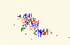 COc1cc(C(=O)NCC(O)(c2cc3c(c(-c4ccc(F)cc4)n2)OC[C@]3(C)C(N)=O)C(F)(F)F)ccc1NC[C@@H](C)O